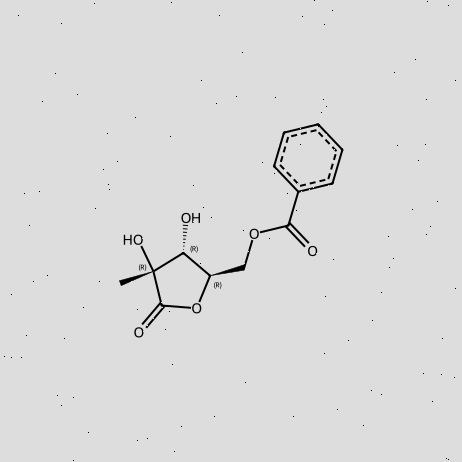 C[C@]1(O)C(=O)O[C@H](COC(=O)c2ccccc2)[C@H]1O